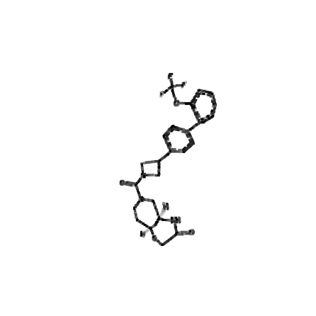 O=C1CO[C@H]2CCN(C(=O)N3CC(c4ccc(-c5ccccc5OC(F)(F)F)cc4)C3)C[C@H]2N1